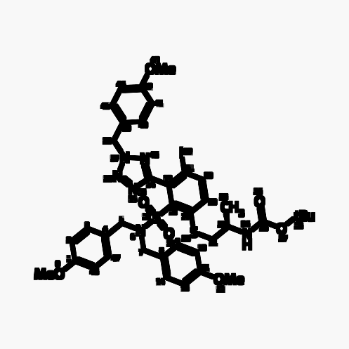 COc1ccc(CN(Cc2ccc(OC)cc2)S(=O)(=O)c2c(SC[C@@H](C)NC(=O)OC(C)(C)C)ccc(I)c2-c2nnn(Cc3ccc(OC)cc3)n2)cc1